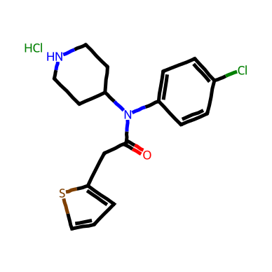 Cl.O=C(Cc1cccs1)N(c1ccc(Cl)cc1)C1CCNCC1